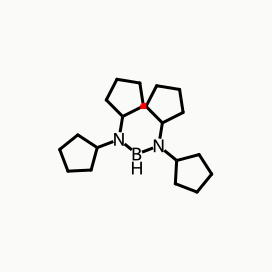 B(N(C1CCCC1)C1CCCC1)N(C1CCCC1)C1CCCC1